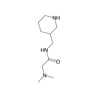 CN(C)CC(=O)NCC1CCCNC1